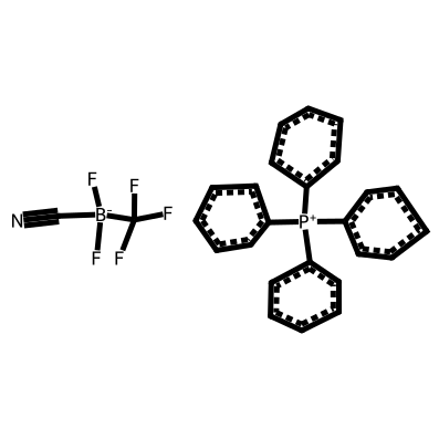 N#C[B-](F)(F)C(F)(F)F.c1ccc([P+](c2ccccc2)(c2ccccc2)c2ccccc2)cc1